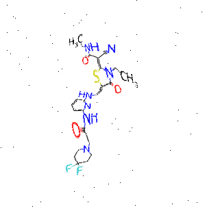 CCNC(=O)C(C#N)=c1sc(=CNc2cccc(NC(=O)CN3CCC(F)(F)CC3)n2)c(=O)n1CC